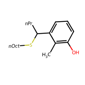 CCCCCCCCSC(CCC)c1cccc(O)c1C